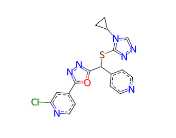 Clc1cc(-c2nnc(C(Sc3nncn3C3CC3)c3ccncc3)o2)ccn1